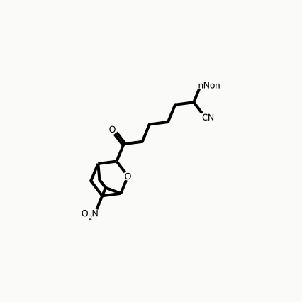 [CH2]CCCCCCCCC(C#N)CCCCC(=O)[C]1OC2CCC1CC2[N+](=O)[O-]